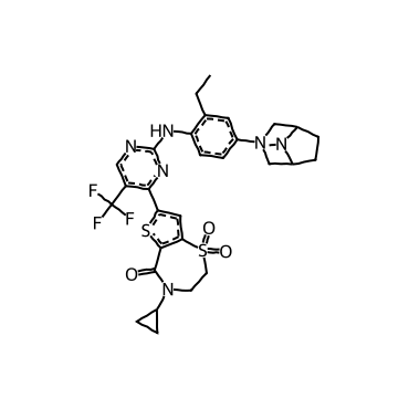 CCc1cc(N2CC3CCC(C2)N3C)ccc1Nc1ncc(C(F)(F)F)c(-c2cc3c(s2)C(=O)N(C2CC2)CCS3(=O)=O)n1